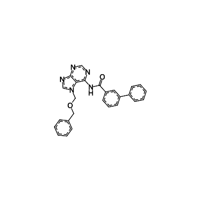 O=C(Nc1ncnc2ncn(COCc3ccccc3)c12)c1cccc(-c2ccccc2)c1